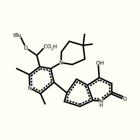 Cc1nc(C)c(C(OC(C)(C)C)C(=O)O)c(N2CCC(C)(C)CC2)c1-c1ccc2[nH]c(=O)cc(O)c2c1